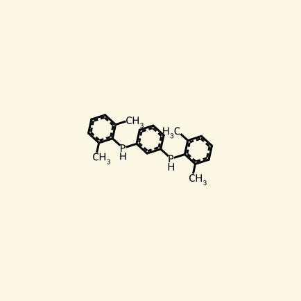 Cc1cccc(C)c1Pc1cccc(Pc2c(C)cccc2C)c1